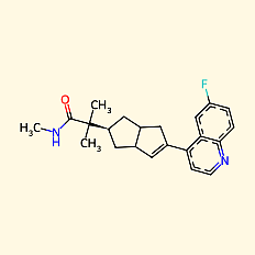 CNC(=O)C(C)(C)[C@@H]1CC2C=C(c3ccnc4ccc(F)cc34)CC2C1